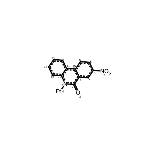 CCn1c(=O)c2cc([N+](=O)[O-])ccc2c2ccccc21